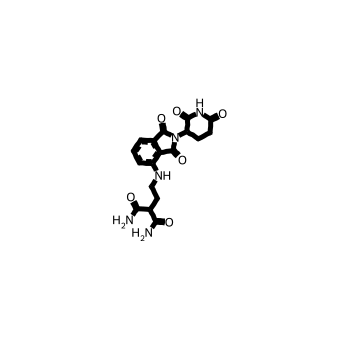 NC(=O)C(CCNc1cccc2c1C(=O)N(C1CCC(=O)NC1=O)C2=O)C(N)=O